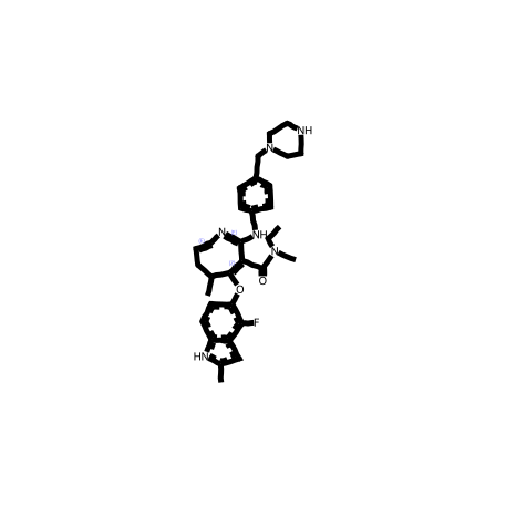 CCN(C)C(=O)C1=C(\Oc2ccc3[nH]c(C)cc3c2F)C(C)C/C=C/N=C\1Nc1ccc(CN2CCNCC2)cc1